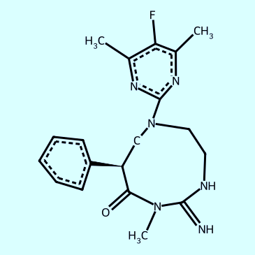 Cc1nc(N2CCNC(=N)N(C)C(=O)[C@@H](c3ccccc3)C2)nc(C)c1F